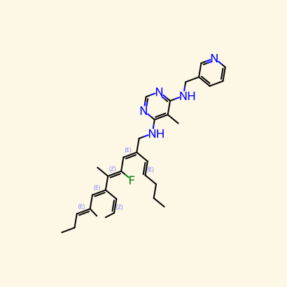 C\C=C/C(=C\C(C)=C\CC)C(/C)=C(F)/C=C(\C=C\CCC)CNc1ncnc(NCc2cccnc2)c1C